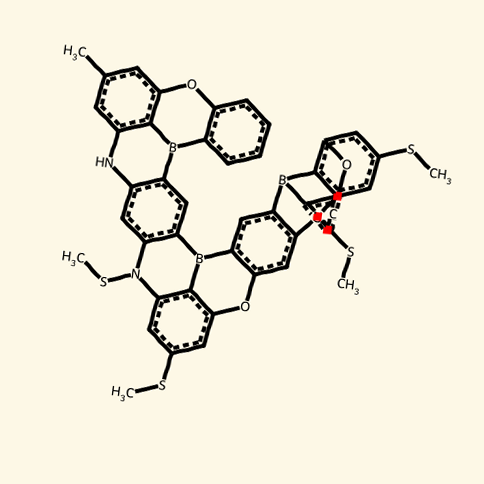 CSc1cc2c3c(c1)N(SC)c1cc4c(cc1B3c1cc3c(cc1O2)N(SC)c1cc(SC)cc2c1B3c1ccccc1O2)B1c2ccccc2Oc2cc(C)cc(c21)N4